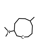 CC1CCCCCC(N(C)C)CCC1